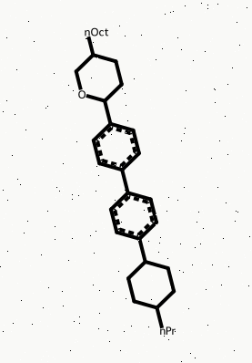 CCCCCCCCC1CCC(c2ccc(-c3ccc(C4CCC(CCC)CC4)cc3)cc2)OC1